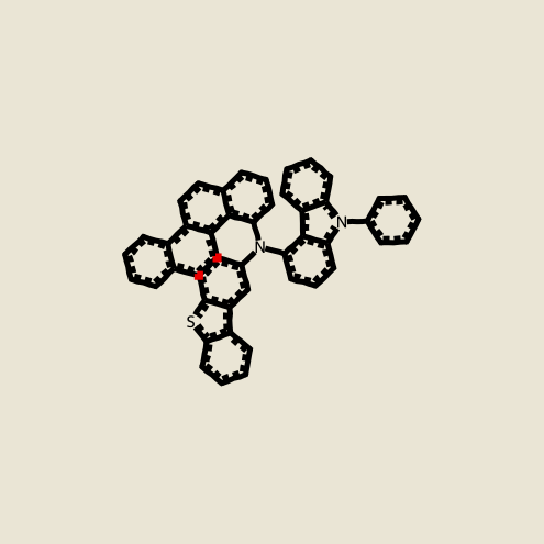 c1ccc(-n2c3ccccc3c3c(N(c4ccc5sc6ccccc6c5c4)c4cccc5ccc6c7ccccc7ccc6c45)cccc32)cc1